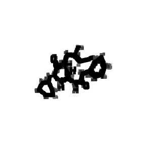 CC[C@H](C)CNC(=O)[C@@H](CC1CCCCC1)NC(=N)NC(=O)Cc1ccccc1